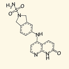 NS(=O)(=O)N1Cc2ccc(Nc3ccnc4[nH]c(=O)ccc34)cc2C1